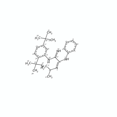 CC(C)/N=C(/Nc1ccccc1)C(=N)Nc1cc(C(C)(C)C)ccc1C(C)(C)C